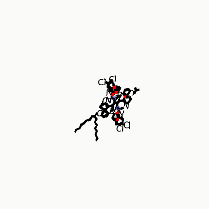 [C-]#[N+]/C(c1cnc2cc(Cl)c(Cl)cc2n1)=c1\c2c(-c3cccc(OCC(CCCCCCCC)CCCCCCCC)c3)n(B(c3ccccc3)c3ccccc3)/c(=C(/C#N)c3cnc4cc(Cl)c(Cl)cc4n3)c2c(-c2cccc(OCC(C)C)c2)n1B(c1ccccc1)c1ccccc1